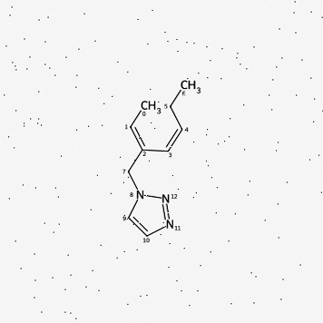 C/C=C(\C=C/CC)Cn1ccnn1